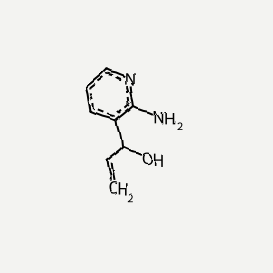 C=CC(O)c1cccnc1N